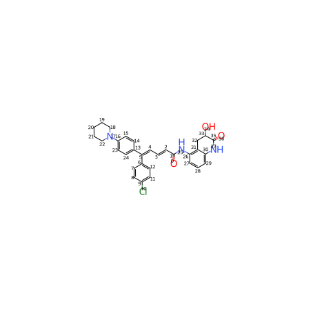 O=C(C=CC=C(c1ccc(Cl)cc1)c1ccc(N2CCCCC2)cc1)Nc1cccc2c1CC(O)C(=O)N2